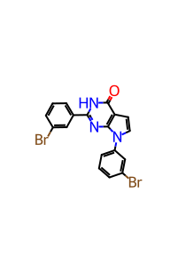 O=c1[nH]c(-c2cccc(Br)c2)nc2c1ccn2-c1cccc(Br)c1